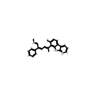 C/N=C/C(=C\C=C(/C)c1c(C)ccc2c1oc1ncccc12)c1ccccc1